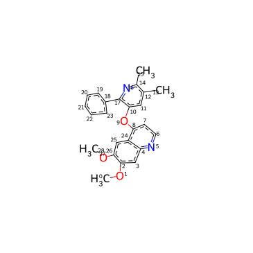 COc1cc2nccc(Oc3cc(C)c(C)nc3-c3ccccc3)c2cc1OC